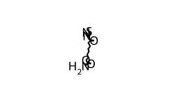 NC(=O)OCCCCCCC(=O)c1csnn1